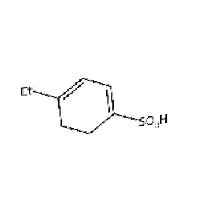 CCC1=CC=C(S(=O)(=O)O)CC1